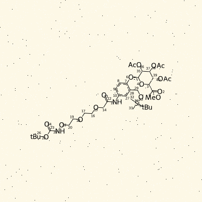 COC(=O)C1O[C@@H](Oc2ccc(NC(=O)COCCOCCONC(=O)OC(C)(C)C)cc2CO[Si](C)(C)C(C)(C)C)C(OC(C)=O)C(OC(C)=O)[C@@H]1OC(C)=O